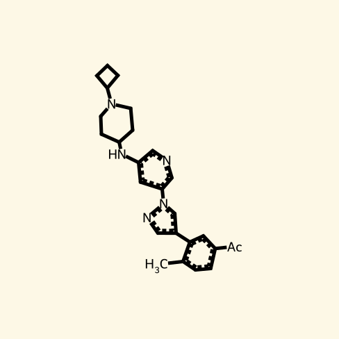 CC(=O)c1ccc(C)c(-c2cnn(-c3cncc(NC4CCN(C5CCC5)CC4)c3)c2)c1